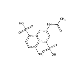 CC(=O)Nc1cc(S(=O)(=O)O)c2c(N)ccc(S(=O)(=O)O)c2c1